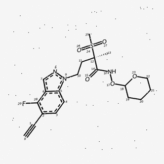 C#Cc1ccc2c(cnn2CC[C@](C)(C(=O)NOC2CCCCO2)S(C)(=O)=O)c1F